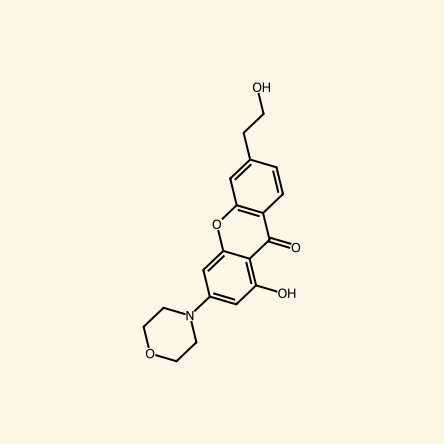 O=c1c2ccc(CCO)cc2oc2cc(N3CCOCC3)cc(O)c12